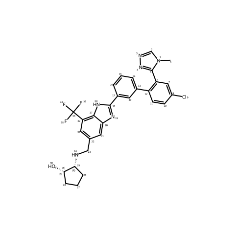 Cn1cnnc1-c1cc(Cl)ccc1-c1cccc(-c2nc3cc(CN[C@@H]4CCC[C@@H]4O)cc(C(F)(F)F)c3[nH]2)c1